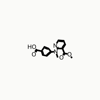 COC(=O)c1cccnc1N(C)c1ccc(C(=O)O)cc1